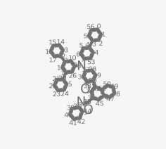 c1ccc(-c2ccc(N(c3cc(-c4ccccc4)cc(-c4ccccc4)c3)c3ccc4c(c3)oc3c(-c5nc6ccccc6o5)cc5ccccc5c34)cc2)cc1